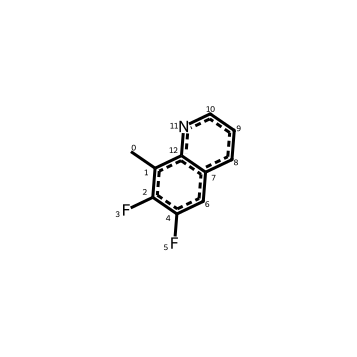 Cc1c(F)c(F)cc2cccnc12